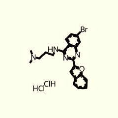 CN(C)CCCNc1nc(-c2cc3ccccc3o2)nc2cc(Br)ccc12.Cl.Cl